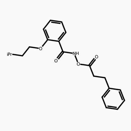 CC(C)CCOc1ccccc1C(=O)NOC(=O)CCc1ccccc1